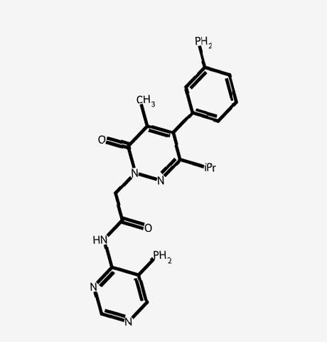 Cc1c(-c2cccc(P)c2)c(C(C)C)nn(CC(=O)Nc2ncncc2P)c1=O